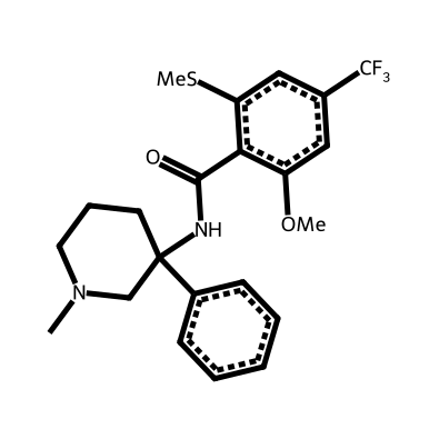 COc1cc(C(F)(F)F)cc(SC)c1C(=O)NC1(c2ccccc2)CCCN(C)C1